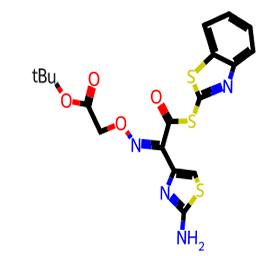 CC(C)(C)OC(=O)CO/N=C(\C(=O)Sc1nc2ccccc2s1)c1csc(N)n1